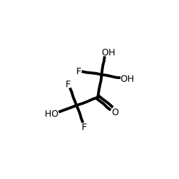 O=C(C(O)(O)F)C(O)(F)F